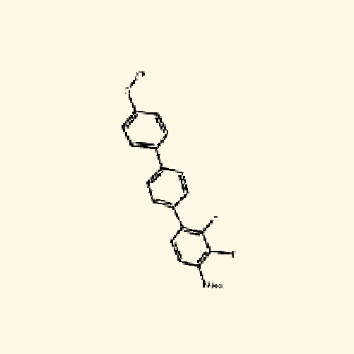 CCCCCCc1ccc(-c2ccc(-c3ccc(OC(F)(F)F)cc3)cc2)c(F)c1F